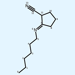 CCCCCCN=C1CCCC1C#N